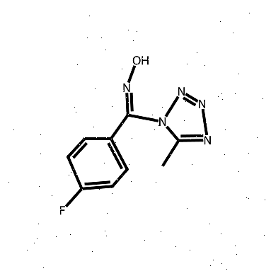 Cc1nnnn1C(=NO)c1ccc(F)cc1